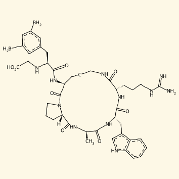 Bc1cc(B)cc(C[C@H](NCC(=O)O)C(=O)N[C@H]2CCCNC(=O)[C@H](CCCNC(=N)N)NC(=O)[C@H](Cc3c[nH]c4ccccc34)NC(=O)[C@@H](C)NC(=O)[C@@H]3CCCN3C2=O)c1